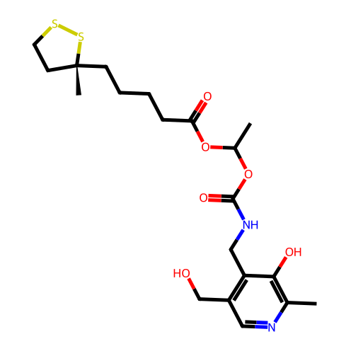 Cc1ncc(CO)c(CNC(=O)OC(C)OC(=O)CCCC[C@]2(C)CCSS2)c1O